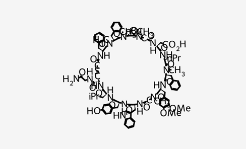 CCCC[C@H]1C(=O)N(C)CC(=O)N[C@@H](CC(=O)O)C(=O)N[C@@H](CCC)C(=O)N(C)[C@@H](Cc2ccccc2)C(=O)N[C@@H](Cc2ccc(OC)c(OC)c2)C(=O)N(C)CC(=O)N[C@@H](Cc2c[nH]c3ccccc23)C(=O)N[C@@H](Cc2ccc(O)cc2)C(=O)N[C@@H](CC(C)C)C(=O)N[C@H](C(=O)NCC(N)=O)CSCC(=O)N[C@@H](Cc2ccccc2)C(=O)N(C)[C@@H](Cc2ccccc2)C(=O)N1C